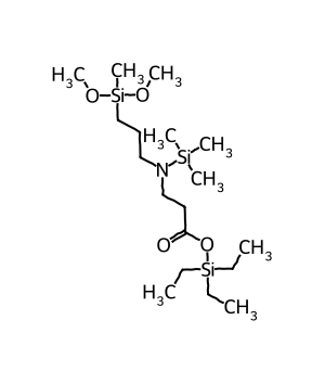 CC[Si](CC)(CC)OC(=O)CCN(CCC[Si](C)(OC)OC)[Si](C)(C)C